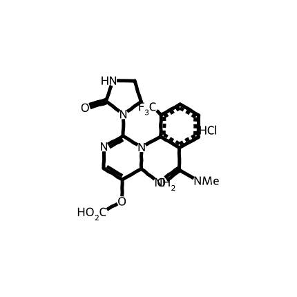 CNC(=O)c1cccc(C(F)(F)F)c1N1C(N2CCNC2=O)=NC=C(OC(=O)O)C1N.Cl